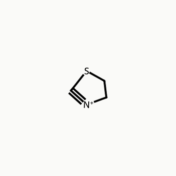 C1#[N+]CCS1